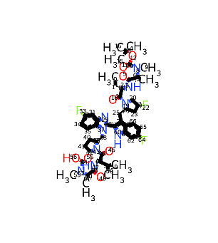 CC[C@H](NC(=O)[C@H](C)N(C)C(=O)OC(C)(C)C)C(=O)N1C[C@@H](F)C[C@H]1Cc1c(-c2nc3cc(F)ccc3n2C[C@@H]2CCCN2C(=O)[C@@H](NC(=O)[C@H](C)N(C)C(=O)O)C(C)C)[nH]c2cc(F)ccc12